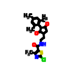 Cc1cc(C)c(C2C(=O)CC(CCNC(=O)c3sc(Cl)nc3C(F)(F)F)C2=O)c(C)c1